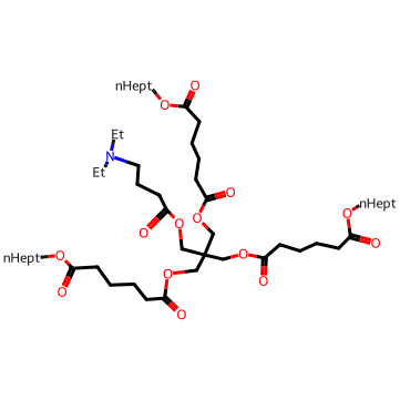 CCCCCCCOC(=O)CCCCC(=O)OCC(COC(=O)CCCCC(=O)OCCCCCCC)(COC(=O)CCCCC(=O)OCCCCCCC)COC(=O)CCCN(CC)CC